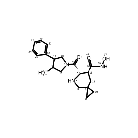 CC1CN(C(=O)[C@H]2NCC3(CC3)C[C@@H]2C(=O)NO)CC1c1ccccc1